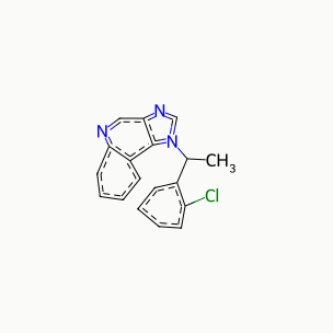 CC(c1ccccc1Cl)n1cnc2cnc3ccccc3c21